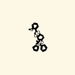 COc1ccccc1[C@H](CO)OC1CCC(O[Si](c2ccccc2)(c2ccccc2)C(C)(C)C)CC1